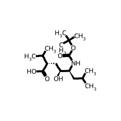 CC(C)C[C@H](NC(=O)OC(C)(C)C)[C@@H](O)C[C@H](C(=O)O)C(C)C